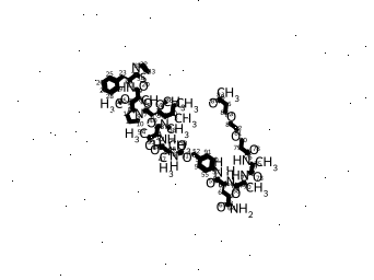 CC[C@H](C)[C@@H]([C@@H](CC(=O)N1CCC[C@H]1[C@H](OC)[C@@H](C)C(=O)N[C@@H](Cc1ccccc1)c1nccs1)OC)N(C)C(=O)[C@@H](NC(=O)C(C)(C)NC(=O)OCc1ccc(NC(=O)[C@H](CCC(N)=O)NC(=O)[C@H](C)NC(=O)[C@H](C)NC(=O)CCOCCOCCC(C)=O)cc1)C(C)C